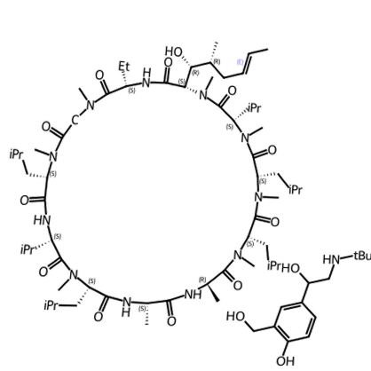 C/C=C/C[C@@H](C)[C@@H](O)[C@H]1C(=O)N[C@@H](CC)C(=O)N(C)CC(=O)N(C)[C@@H](CC(C)C)C(=O)N[C@@H](C(C)C)C(=O)N(C)[C@@H](CC(C)C)C(=O)N[C@@H](C)C(=O)N[C@H](C)C(=O)N(C)[C@@H](CC(C)C)C(=O)N(C)[C@@H](CC(C)C)C(=O)N(C)[C@@H](C(C)C)C(=O)N1C.CC(C)(C)NCC(O)c1ccc(O)c(CO)c1